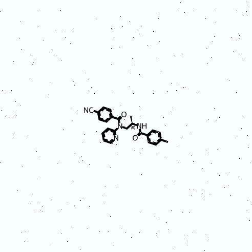 Cc1ccc(C(=O)N[C@H](C)CN(C(=O)c2ccc(C#N)cc2)c2ccccn2)cc1